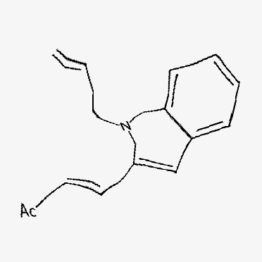 C=CCn1c(C=CC(C)=O)cc2ccccc21